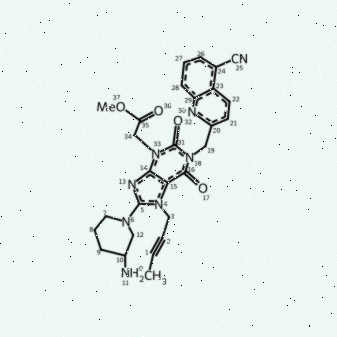 CC#CCn1c(N2CCCC(N)C2)nc2c1c(=O)n(Cc1ccc3c(C#N)cccc3n1)c(=O)n2CC(=O)OC